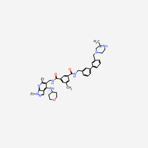 CCc1nc2c(cnn2CC)c(NC2CCOCC2)c1CNC(=O)c1cc(C)cc(C(=O)NCc2cccc(-c3cccc(CN4CCN[C@H](C)C4)c3)c2)c1